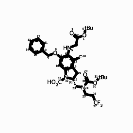 CC(C)(C)OC(=O)CNc1c(OCc2ccccc2)cc2c(c1F)C[C@H](CN(CCC(F)(F)F)C(=O)OC(C)(C)C)N2C(=O)O